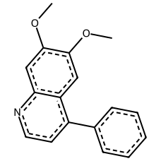 COc1cc2nccc(-c3ccccc3)c2cc1OC